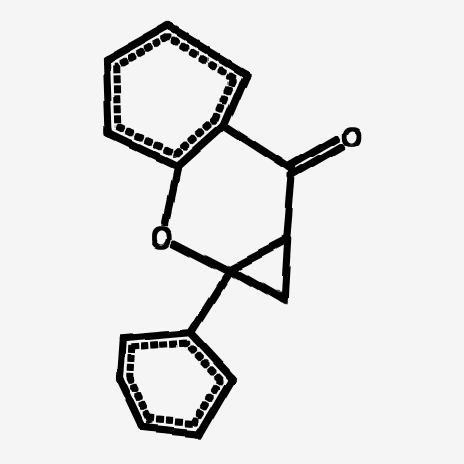 O=C1c2ccccc2OC2(c3ccccc3)CC12